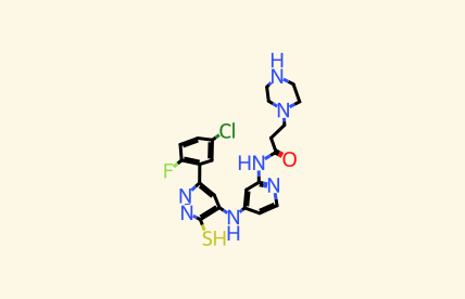 O=C(CCN1CCNCC1)Nc1cc(Nc2cc(-c3cc(Cl)ccc3F)nnc2S)ccn1